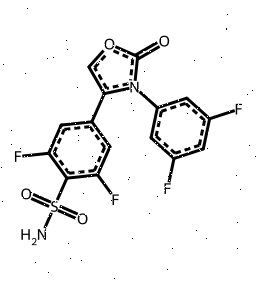 NS(=O)(=O)c1c(F)cc(-c2coc(=O)n2-c2cc(F)cc(F)c2)cc1F